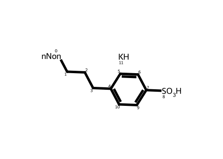 CCCCCCCCCCCCc1ccc(S(=O)(=O)O)cc1.[KH]